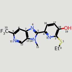 CCSc1nc(-c2nc3cc(C(F)(F)F)ncc3n2C)ccc1O